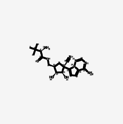 CC(C)(C)[C@H](N)C(=O)OC[C@H]1C[C@@](C#N)(c2ccc3c(N)ncnn23)[C@H](O)[C@@H]1O